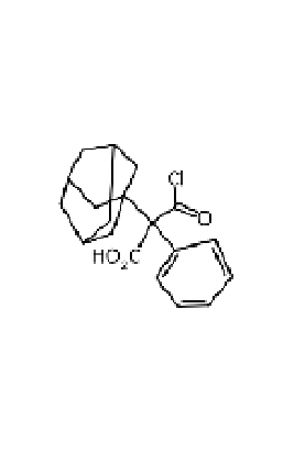 O=C(O)C(C(=O)Cl)(c1ccccc1)C12CC3CC(CC(C3)C1)C2